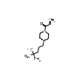 C=CC(=O)N1CCN(CCCC(C)(C)C)CC1